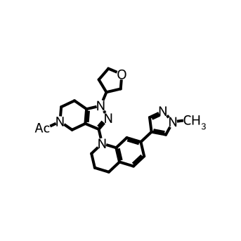 CC(=O)N1CCc2c(c(N3CCCc4ccc(-c5cnn(C)c5)cc43)nn2C2CCOC2)C1